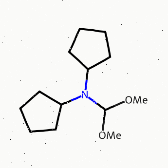 COC(OC)N(C1CCCC1)C1CCCC1